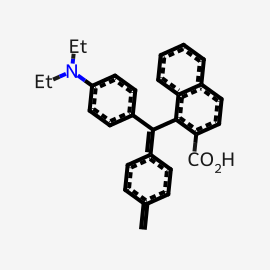 C=c1ccc(=C(c2ccc(N(CC)CC)cc2)c2c(C(=O)O)ccc3ccccc23)cc1